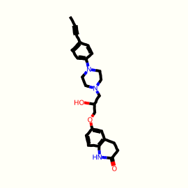 CC#Cc1ccc(N2CCN(CC(O)COc3ccc4c(c3)CCC(=O)N4)CC2)cc1